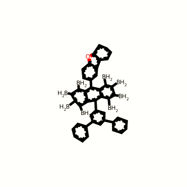 Bc1c(B)c(B)c2c(-c3ccc4oc5ccccc5c4c3)c3c(B)c(B)c(B)c(B)c3c(-c3cc(-c4ccccc4)cc(-c4ccccc4)c3)c2c1B